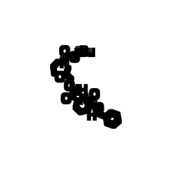 CC(C)(C)OC(=O)N1CCCOC(CONC(=O)[C@@H]2CC[C@@H]3CN2C(=O)N3OCc2ccccc2)C1